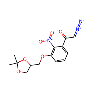 CC1(C)OCC(COc2cccc(C(=O)C=[N+]=[N-])c2[N+](=O)[O-])O1